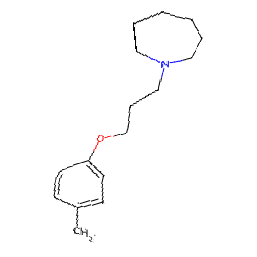 [CH2]c1ccc(OCCCN2CCCCCC2)cc1